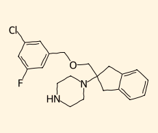 Fc1cc(Cl)cc(COCC2(N3CCNCC3)Cc3ccccc3C2)c1